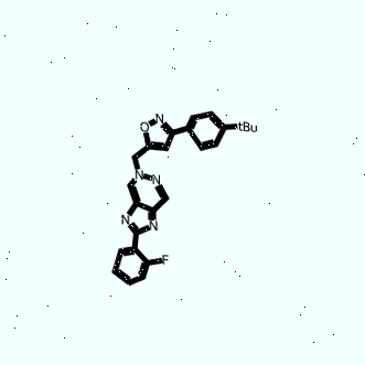 CC(C)(C)c1ccc(-c2cc(Cn3cc4nc(-c5ccccc5F)nc-4cn3)on2)cc1